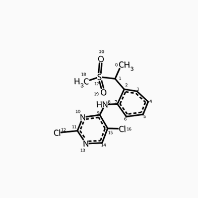 CC(c1ccccc1Nc1nc(Cl)ncc1Cl)S(C)(=O)=O